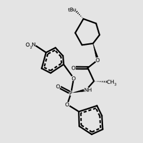 C[C@H](N[P@](=O)(Oc1ccccc1)Oc1ccc([N+](=O)[O-])cc1)C(=O)O[C@H]1CC[C@H](C(C)(C)C)CC1